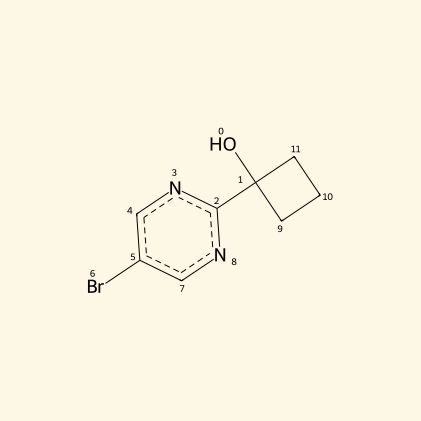 OC1(c2ncc(Br)cn2)CCC1